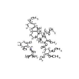 COC(=O)[C@H]1[C@H]2C[C@@H]3c4[nH]c5cc(OC)ccc5c4CCN3C[C@H]2C[C@@H](OC(=O)c2cc(OC)c(OC)c(OC)c2)[C@@H]1OC.N=C(N)N/N=C/c1c(Cl)cccc1Cl